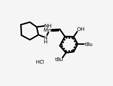 CC(C)(C)c1cc([CH]=[Mn]2[NH]C3CCCCC3[NH]2)c(O)c(C(C)(C)C)c1.Cl